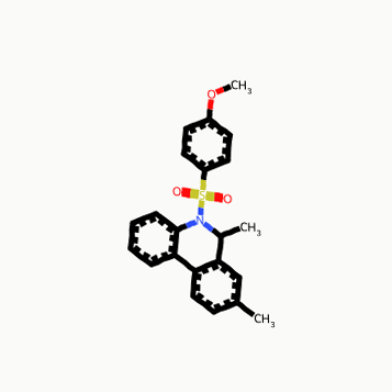 COc1ccc(S(=O)(=O)N2c3ccccc3-c3ccc(C)cc3C2C)cc1